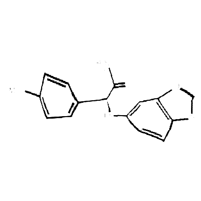 COc1ccc([C@H](Nc2ccc3c(c2)OCO3)C(N)=O)cc1